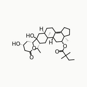 CCC(C)(C)C(=O)O[C@H]1C[C@H]2C(=C3CCC[C@]31C)CC[C@@H]1C[C@@](O)([C@H]3C[C@@H](O)CC(=O)O3)[C@@H](C(C)C)C[C@@]12C